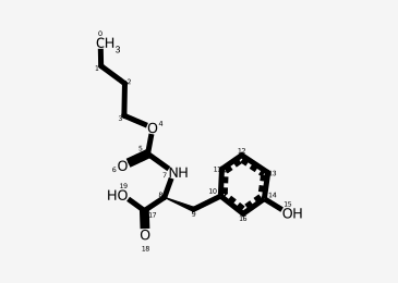 CCCCOC(=O)N[C@@H](Cc1cccc(O)c1)C(=O)O